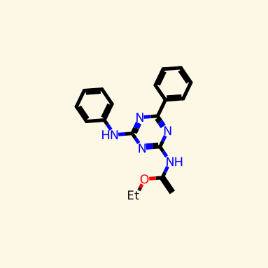 C=C(Nc1nc(Nc2ccccc2)nc(-c2ccccc2)n1)OCC